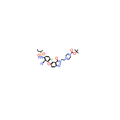 CCC(C)S(=O)(=O)Nc1ccc(F)c(Oc2ccc3ncn(CCN4CCN(C(=O)OC(C)(C)C)CC4)c(=O)c3c2)c1C#N